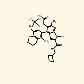 Cc1nc2c(cc(C(=O)NCC3CCC3)n2C)c(-c2cc(F)c3c(c2C)CCCO3)c1[C@H](OC(C)(C)C)C(=O)O